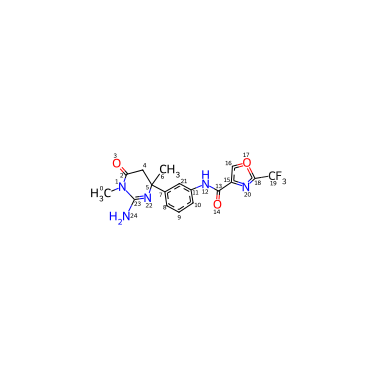 CN1C(=O)CC(C)(c2cccc(NC(=O)c3coc(C(F)(F)F)n3)c2)N=C1N